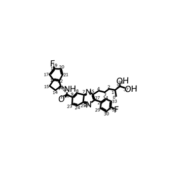 CC(CCCc1nc2cc(C(=O)N[C@@H]3CCc4cc(F)ccc43)ccc2nc1-c1ccc(F)cc1)C(O)O